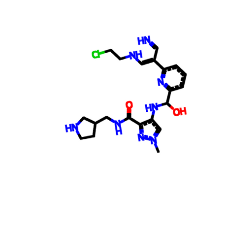 Cn1cc(NC(O)c2cccc(/C(C=N)=C/NCCCl)n2)c(C(=O)NCC2CCNC2)n1